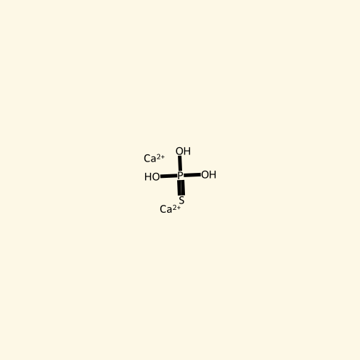 OP(O)(O)=S.[Ca+2].[Ca+2]